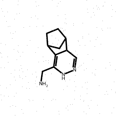 NCC1=C2C3CCC(C3)C2C=NN1